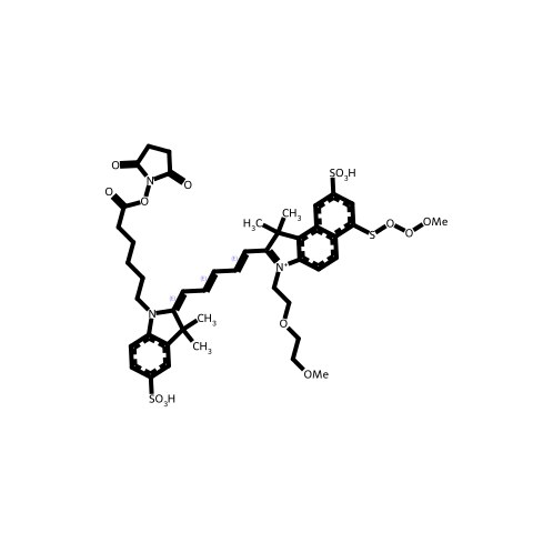 COCCOCC[N+]1=C(/C=C/C=C/C=C2/N(CCCCCC(=O)ON3C(=O)CCC3=O)c3ccc(S(=O)(=O)O)cc3C2(C)C)C(C)(C)c2c1ccc1c(SOOOC)cc(S(=O)(=O)O)cc21